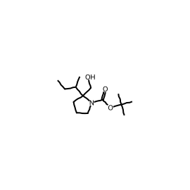 CCC(C)C1(CO)CCCN1C(=O)OC(C)(C)C